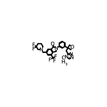 Cn1cnnc1CC1(c2cccc(N3Cc4c(cc(CN5CCCC(F)(F)C5)cc4C(F)(F)F)C3=O)c2)COC1